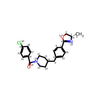 C[C@H]1COC(c2ccc(CC3CCN(C(=O)c4ccc(Cl)cc4)CC3)cc2)=N1